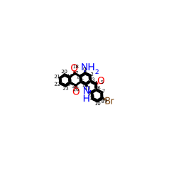 Nc1cc2c(=O)c3cc(Br)ccc3[nH]c2c2c1C(=O)c1ccccc1C2=O